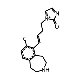 O=C1N=CC=[N+]1CCC=Cc1c(Cl)ccc2c1CCNCC2